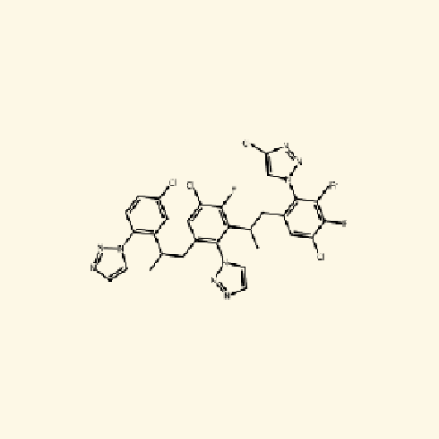 CC(C)c1c(F)c(Cl)cc(CC(C)c2c(F)c(Cl)cc(CC(C)c3cc(Cl)ccc3-n3ccnn3)c2-n2ccnn2)c1-n1cc(Cl)nn1